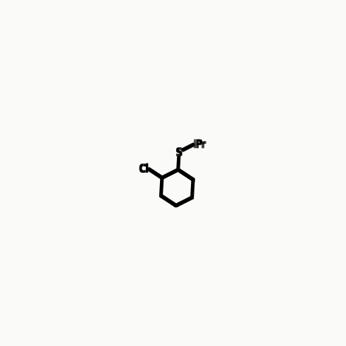 CC(C)SC1CCCCC1Cl